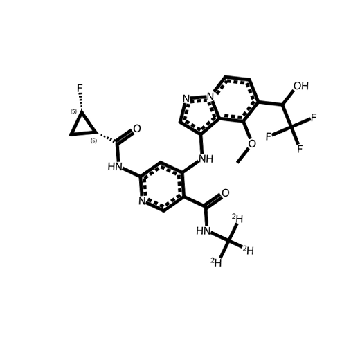 [2H]C([2H])([2H])NC(=O)c1cnc(NC(=O)[C@@H]2C[C@@H]2F)cc1Nc1cnn2ccc(C(O)C(F)(F)F)c(OC)c12